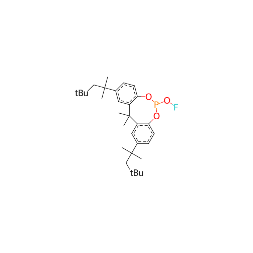 CC(C)(C)CC(C)(C)c1ccc2c(c1)C(C)(C)c1cc(C(C)(C)CC(C)(C)C)ccc1OP(OF)O2